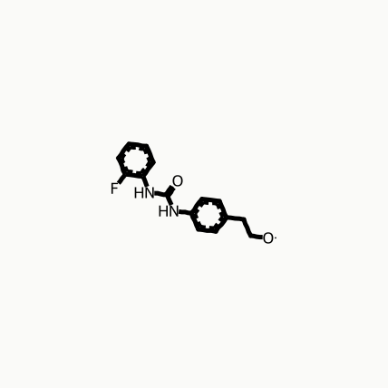 [O]CCc1ccc(NC(=O)Nc2ccccc2F)cc1